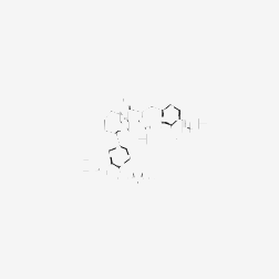 CCOc1cc(C2=NN(C(=O)C(Cc3ccc(O)cc3)NC(=O)O)CCC2)ccc1OC